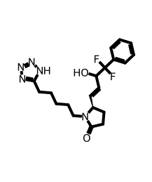 O=C1CC[C@H](C=CC(O)C(F)(F)c2ccccc2)N1CCCCCc1nnn[nH]1